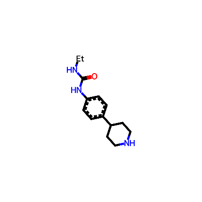 CCNC(=O)Nc1ccc(C2CCNCC2)cc1